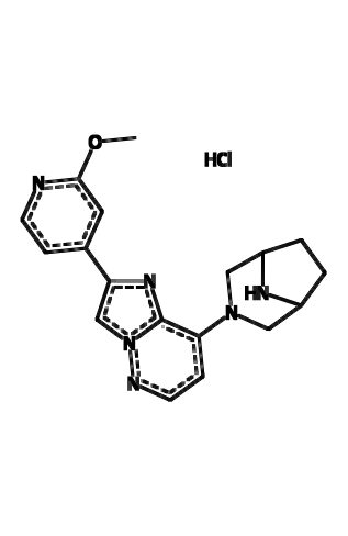 COc1cc(-c2cn3nccc(N4CC5CCC(C4)N5)c3n2)ccn1.Cl